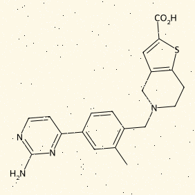 Cc1cc(-c2ccnc(N)n2)ccc1CN1CCc2sc(C(=O)O)cc2C1